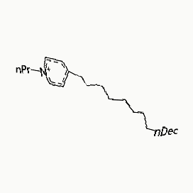 CCCCCCCCCCCCCCCCCCc1cc[n+](CCC)cc1